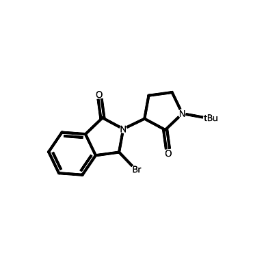 CC(C)(C)N1CCC(N2C(=O)c3ccccc3C2Br)C1=O